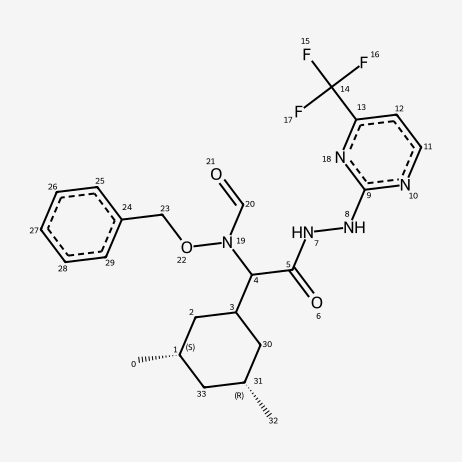 C[C@@H]1CC(C(C(=O)NNc2nccc(C(F)(F)F)n2)N(C=O)OCc2ccccc2)C[C@H](C)C1